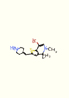 C=C1c2cc(C=C3CCNCC3)sc2C(Br)=CN1C